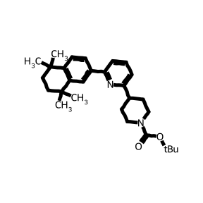 CC(C)(C)OC(=O)N1CCC(c2cccc(-c3ccc4c(c3)C(C)(C)CCC4(C)C)n2)CC1